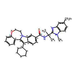 CCOC(=O)c1ccc2c(c1)nc(C(C)(C)NC(=O)c1ccc3c(C4CCCCC4)c4n(c3c1)CCOc1ccccc1-4)n2C